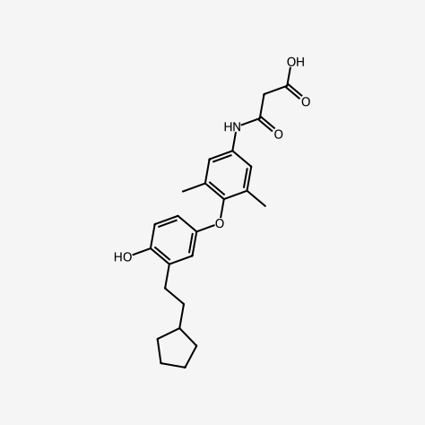 Cc1cc(NC(=O)CC(=O)O)cc(C)c1Oc1ccc(O)c(CCC2CCCC2)c1